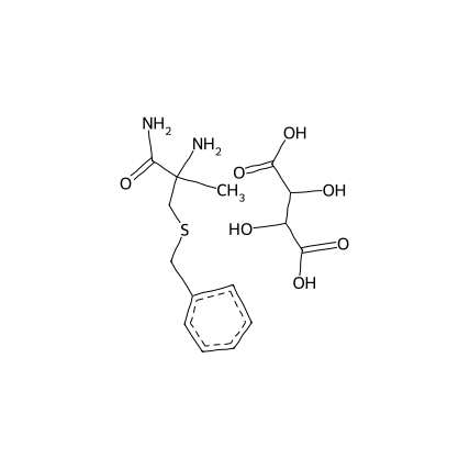 CC(N)(CSCc1ccccc1)C(N)=O.O=C(O)C(O)C(O)C(=O)O